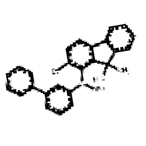 CCc1ccc2c(c1N(c1cccc(-c3ccccc3)c1)C(C)(C)C)C(C)(C)c1ccccc1-2